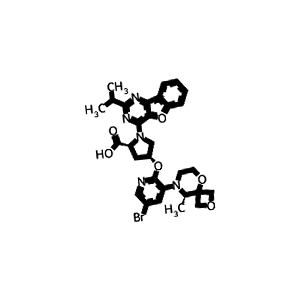 CC(C)c1nc(N2C[C@@H](Oc3ncc(Br)cc3N3CCOC4(COC4)[C@@H]3C)C[C@H]2C(=O)O)c2oc3ccccc3c2n1